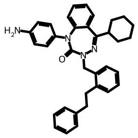 Nc1ccc(N2C(=O)N(Cc3ccccc3CCc3ccccc3)N=C(C3CCCCC3)c3ccccc32)cc1